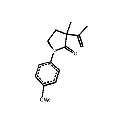 C=C(C)C1(C)CCN(c2ccc(OC)cc2)C1=O